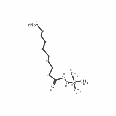 CCCCCCCCCCCCCCCCCC(=O)OO[Si](C)(C)C